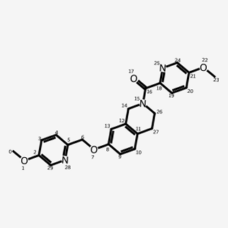 COc1ccc(COc2ccc3c(c2)CN(C(=O)c2ccc(OC)cn2)CC3)nc1